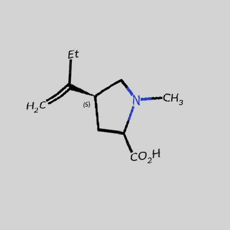 C=C(CC)[C@@H]1CC(C(=O)O)N(C)C1